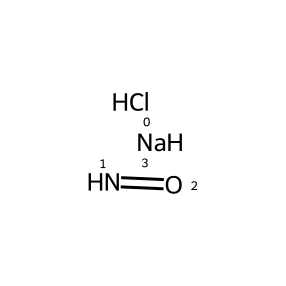 Cl.N=O.[NaH]